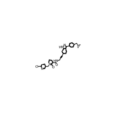 CN(C)Cc1ccc(-c2n[nH]c3cc(C#CCNC(=O)c4cccn(Cc5ccc(Cl)nc5)c4=O)ccc23)cc1